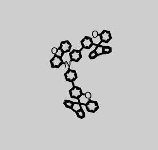 c1ccc2c(c1)Oc1cc(-c3ccc(N(c4ccc(-c5ccc6c(c5)C5(c7ccccc7O6)c6ccccc6-c6ccccc65)cc4)c4cccc5oc6ccccc6c45)cc3)ccc1C21c2ccccc2-c2ccccc21